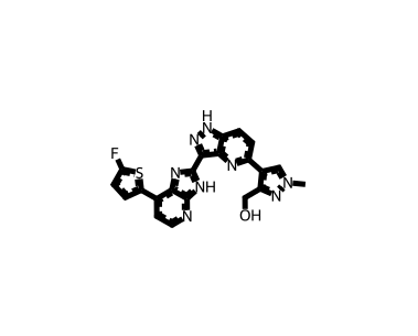 Cn1cc(-c2ccc3[nH]nc(-c4nc5c(-c6ccc(F)s6)ccnc5[nH]4)c3n2)c(CO)n1